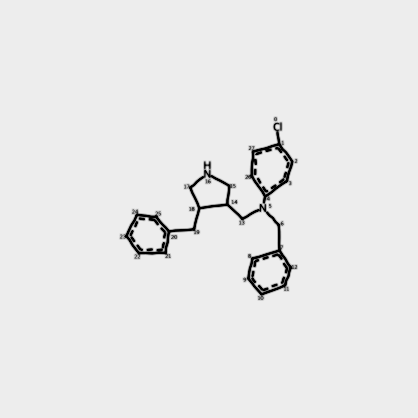 Clc1ccc(N(Cc2ccccc2)CC2CNCC2Cc2ccccc2)cc1